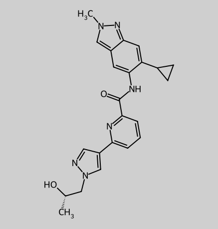 C[C@H](O)Cn1cc(-c2cccc(C(=O)Nc3cc4cn(C)nc4cc3C3CC3)n2)cn1